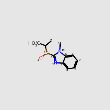 CC(C(=O)O)[S+]([O-])c1nc2ccccc2n1C